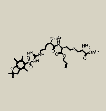 C=CCOC(=O)[C@H](CCSC[C@H](N)C(=O)OC)NC(=O)[C@@H](CCCNC(=N)NS(=O)(=O)c1c(C)c(C)c2c(c1C)CC(C)(C)O2)NC(C)=O